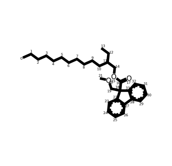 CCCCCCCCCCCC(CC)COC(=O)C1(COC)c2ccccc2-c2ccccc21